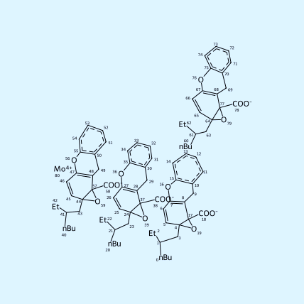 CCCCC(CC)CC12C=CC3=C(Cc4ccccc4O3)C1(C(=O)[O-])O2.CCCCC(CC)CC12C=CC3=C(Cc4ccccc4O3)C1(C(=O)[O-])O2.CCCCC(CC)CC12C=CC3=C(Cc4ccccc4O3)C1(C(=O)[O-])O2.CCCCC(CC)CC12C=CC3=C(Cc4ccccc4O3)C1(C(=O)[O-])O2.[Mo+4]